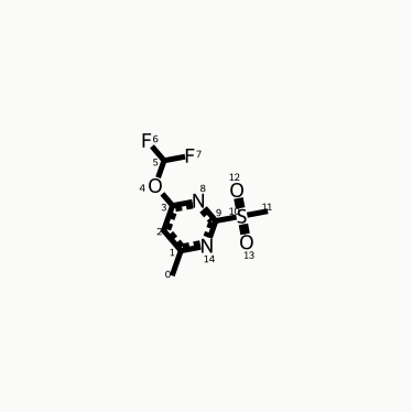 Cc1cc(OC(F)F)nc(S(C)(=O)=O)n1